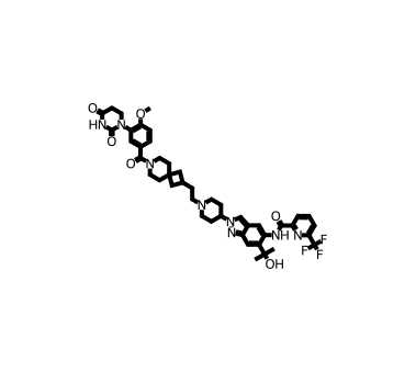 COc1ccc(C(=O)N2CCC3(CC2)CC(CCN2CCC(n4cc5cc(NC(=O)c6cccc(C(F)(F)F)n6)c(C(C)(C)O)cc5n4)CC2)C3)cc1N1CCC(=O)NC1=O